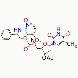 CC(=O)OC1C[C@H](n2cc(C)c(=O)[nH]c2=O)O[C@@H]1COC(=O)OCC(Nc1cc([N+](=O)[O-])cc[n+]1[O-])c1ccccc1